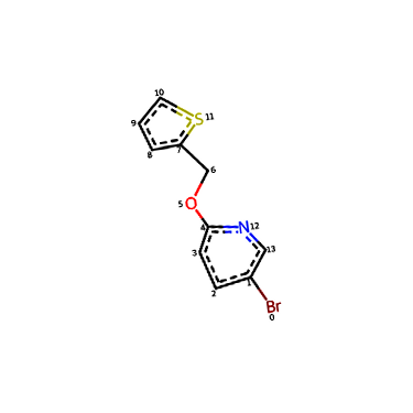 Brc1ccc(OCc2cccs2)nc1